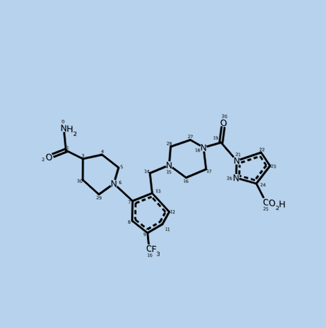 NC(=O)C1CCN(c2cc(C(F)(F)F)ccc2CN2CCN(C(=O)n3ccc(C(=O)O)n3)CC2)CC1